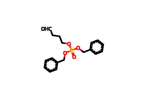 O=CCCCOP(=O)(OCc1ccccc1)OCc1ccccc1